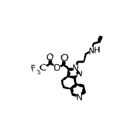 C=CCNCCCn1nc2c(c1C(=O)OC(=O)C(F)(F)F)CCc1cnccc1-2